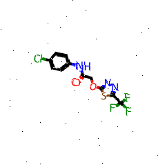 O=C(COc1nnc(C(F)(F)F)s1)Nc1ccc(Cl)cc1